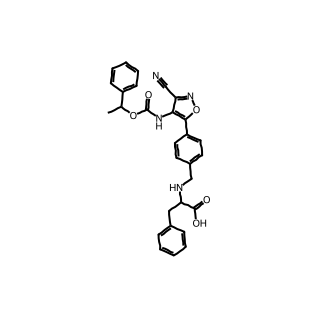 CC(OC(=O)Nc1c(C#N)noc1-c1ccc(CNC(Cc2ccccc2)C(=O)O)cc1)c1ccccc1